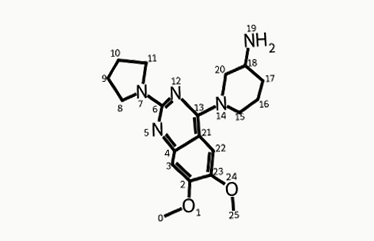 COc1cc2nc(N3CCCC3)nc(N3CCCC(N)C3)c2cc1OC